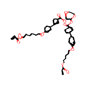 C=CC(=O)OCCCCCCOc1ccc(-c2ccc(C(=O)OC3OCCOC3OC(=O)c3ccc(-c4ccc(OCCCCCCOC(=O)C=C)cc4)cc3)cc2)cc1